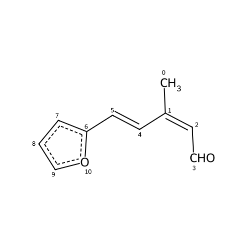 CC(=C/C=O)/C=C/c1ccco1